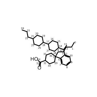 CCCCCC1(c2ccccc2C(C)C2CCC(C3CCC(CCC)CC3)CC2)CCC(C(=O)O)CC1